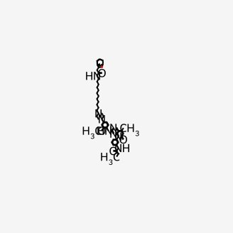 CCC(=O)Nc1cccc(-n2c(=O)cc(C)c3cnc(Nc4ccc(N5CCN(CCCCCCCCCCCCNC(=O)CC67CC8CC(CC6C8)C7)CC5)cc4OC)nc32)c1